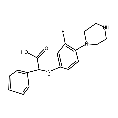 O=C(O)C(Nc1ccc(N2CCNCC2)c(F)c1)c1ccccc1